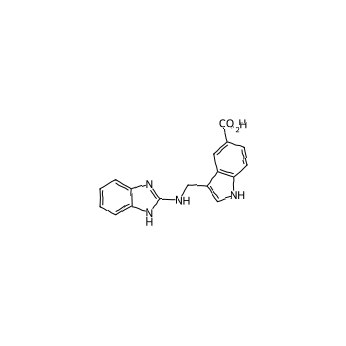 O=C(O)c1ccc2[nH]cc(CNc3nc4ccccc4[nH]3)c2c1